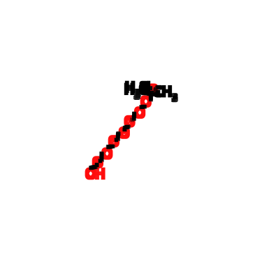 CCC(CC)(COCCOCCOCCOCCOCCOCCOCCO)O[SiH3]